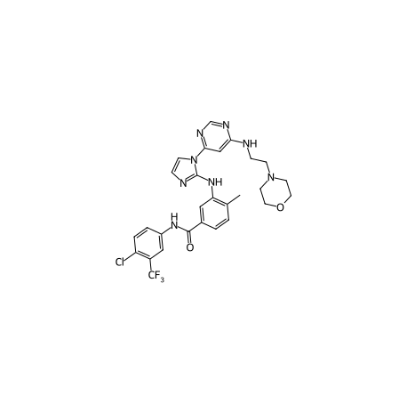 Cc1ccc(C(=O)Nc2ccc(Cl)c(C(F)(F)F)c2)cc1Nc1nccn1-c1cc(NCCN2CCOCC2)ncn1